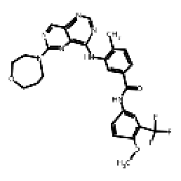 COc1ccc(NC(=O)c2ccc(C)c(Nc3ncnc4cnc(N5CCCOCC5)nc34)c2)cc1C(F)(F)F